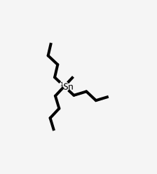 CCC[CH2][1Sn]([CH3])([CH2]CCC)[CH2]CCC